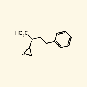 O=C(O)N(CCc1ccccc1)C1CO1